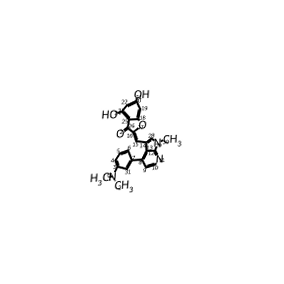 CN(C)c1cccc(-c2ccnc3c2c(C=C2Oc4cc(O)cc(O)c4C2=O)cn3C)c1